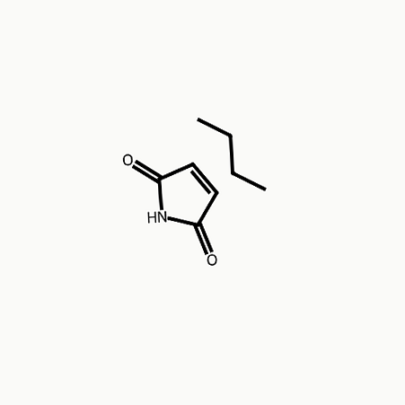 CCCC.O=C1C=CC(=O)N1